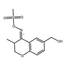 CC1COc2ccc(CO)cc2/C1=N/OS(C)(=O)=O